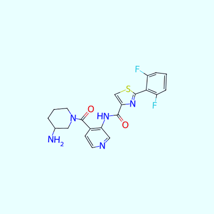 NC1CCCN(C(=O)c2ccncc2NC(=O)c2csc(-c3c(F)cccc3F)n2)C1